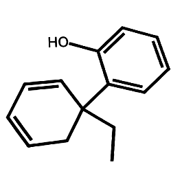 CCC1(c2ccccc2O)C=CC=CC1